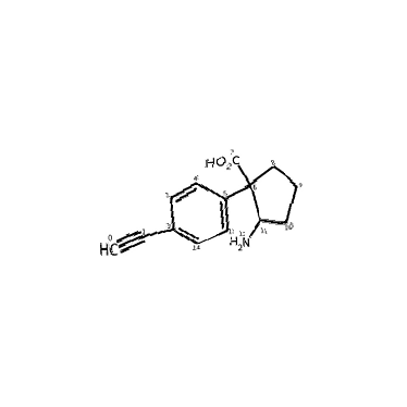 C#Cc1ccc(C2(C(=O)O)CCCC2N)cc1